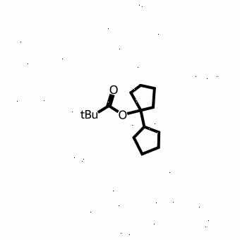 CC(C)(C)C(=O)OC1(C2CCCC2)CCCC1